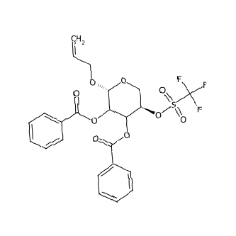 C=CCO[C@@H]1OC[C@@H](OS(=O)(=O)C(F)(F)F)C(OC(=O)c2ccccc2)C1OC(=O)c1ccccc1